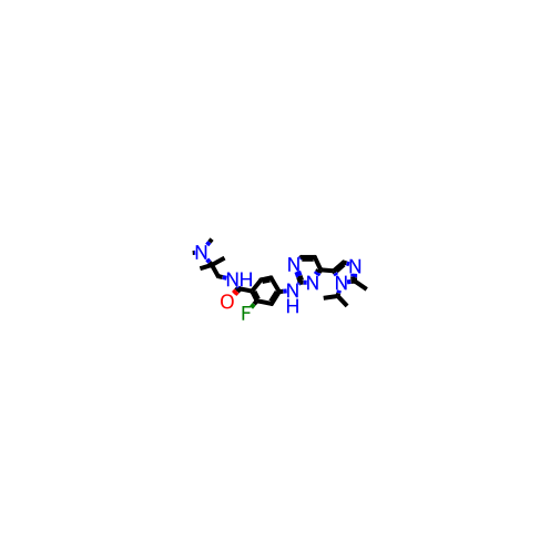 Cc1ncc(-c2ccnc(Nc3ccc(C(=O)NCC(C)(C)N(C)C)c(F)c3)n2)n1C(C)C